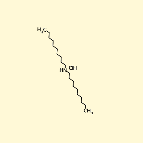 CCCCCCCCCCNCCCCCCCCCC.Cl